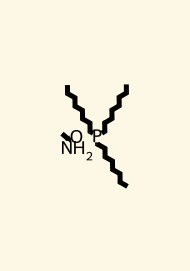 CC(N)=O.CCCCCCCCP(CCCCCCCC)CCCCCCCC